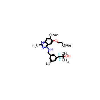 COCCOc1cc2c(NCc3cc(C#N)cc(C(F)(F)C(C)(C)O)c3)nc(C)nc2cc1OC